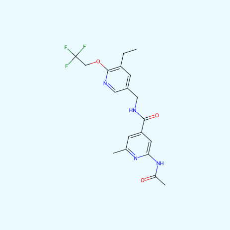 CCc1cc(CNC(=O)c2cc(C)nc(NC(C)=O)c2)cnc1OCC(F)(F)F